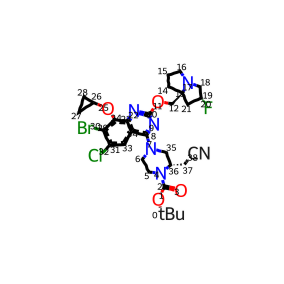 CC(C)(C)OC(=O)N1CCN(c2nc(OC[C@@]34CCCN3C[C@H](F)C4)nc3c(OC4CC4)c(Br)c(Cl)cc23)C[C@@H]1CC#N